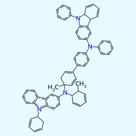 CC1C=CC=CC1N(c1ccc2c(c1)c1ccccc1n2C1C=CC=CC1)C1(C)C=CC(c2ccc(N(c3ccccc3)c3ccc4c(c3)C3C=CC=CC3N4c3ccccc3)cc2)=CC1